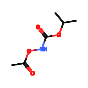 CC(=O)ONC(=O)OC(C)C